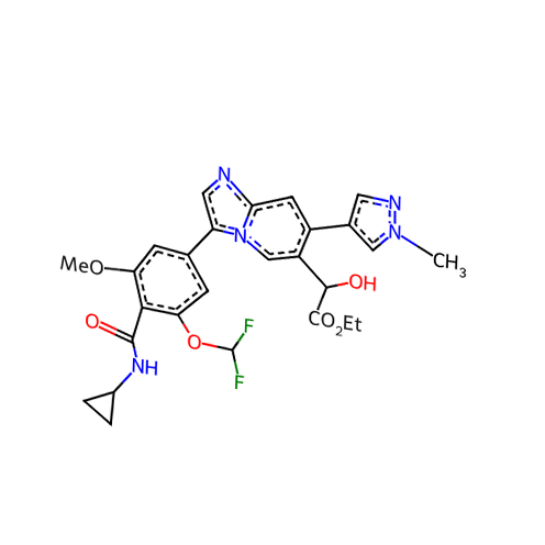 CCOC(=O)C(O)c1cn2c(-c3cc(OC)c(C(=O)NC4CC4)c(OC(F)F)c3)cnc2cc1-c1cnn(C)c1